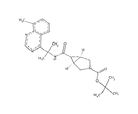 Cc1cccc2c(C(C)(C)NC(=O)C3[C@H]4CN(C(=O)OC(C)(C)C)C[C@@H]34)ncnc12